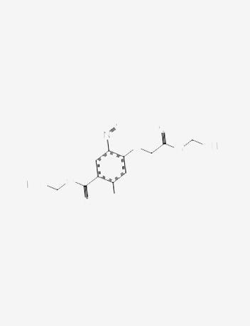 CCOC(=O)CSc1cc(I)c(C(=O)OCC)cc1N=O